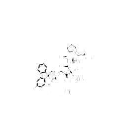 Cc1ccc(C2(c3ccccc3)CN(CC(=O)[C@@](N)(C(=O)NC(=O)[C@@H]3CCCN3[C@H](C(=O)C(F)(F)F)C(C)C)C(C)C)C(=O)N2CC(=O)O)cc1